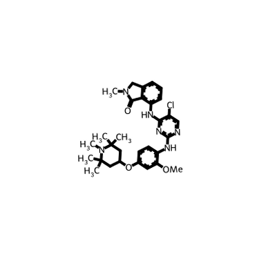 COc1cc(OC2CC(C)(C)N(C)C(C)(C)C2)ccc1Nc1ncc(Cl)c(Nc2cccc3c2C(=O)N(C)C3)n1